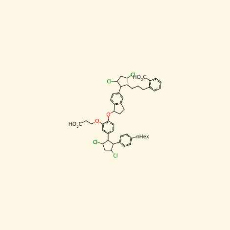 CCCCCCc1ccc(C2C(Cl)CC(Cl)C2c2ccc(OC3CCc4cc(C5C(Cl)CC(Cl)C5CCCc5ccccc5C(=O)O)ccc43)c(OCCC(=O)O)c2)cc1